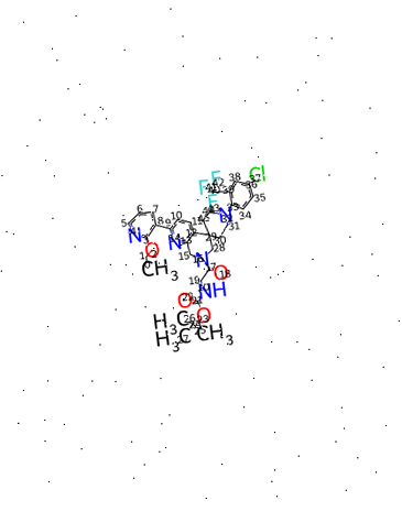 CCOc1ncccc1-c1ccc2c(n1)CN(C(=O)CNC(=O)OC(C)(C)C)CC21CCN(c2ccc(Cl)cc2C(F)(F)F)CC1